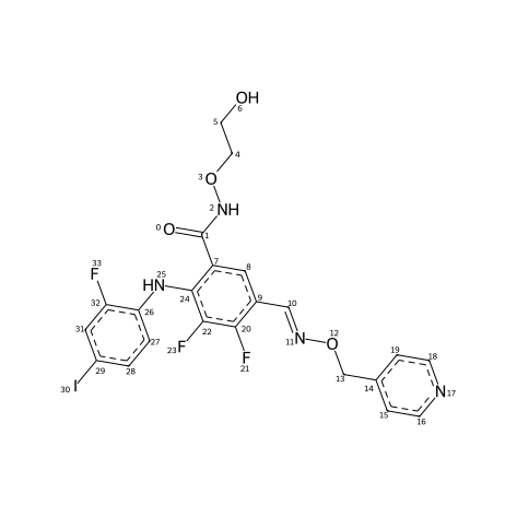 O=C(NOCCO)c1cc(/C=N/OCc2ccncc2)c(F)c(F)c1Nc1ccc(I)cc1F